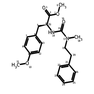 COC(=O)[C@H](Cc1ccc(OC)cc1)NC(=O)N(C)CCc1ccccc1